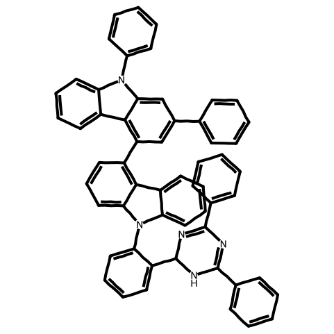 c1ccc(C2=NC(c3ccccc3-n3c4ccccc4c4c(-c5cc(-c6ccccc6)cc6c5c5ccccc5n6-c5ccccc5)cccc43)NC(c3ccccc3)=N2)cc1